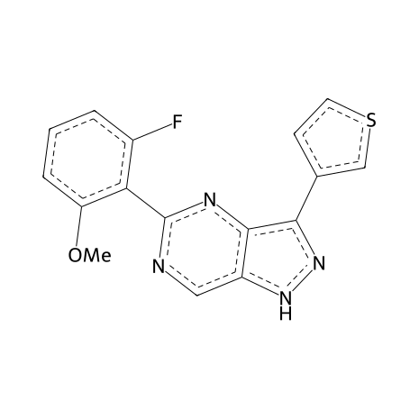 COc1cccc(F)c1-c1ncc2[nH]nc(-c3ccsc3)c2n1